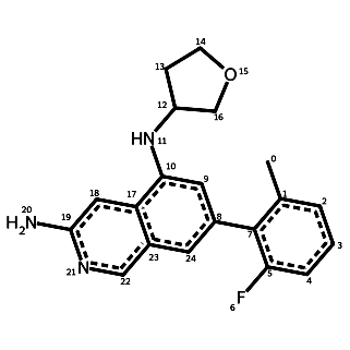 Cc1cccc(F)c1-c1cc(NC2CCOC2)c2cc(N)ncc2c1